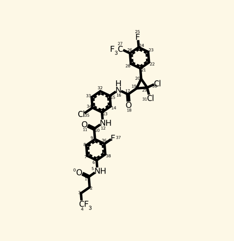 O=C(CCC(F)(F)F)Nc1ccc(C(=O)Nc2cc(NC(=O)C3C(c4ccc(F)c(C(F)(F)F)c4)C3(Cl)Cl)ccc2Cl)c(F)c1